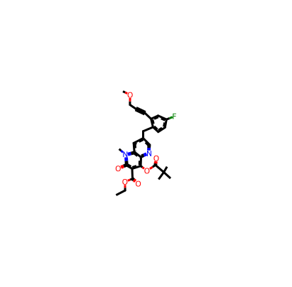 CCOC(=O)c1c(OC(=O)C(C)(C)C)c2ncc(Cc3ccc(F)cc3C#CCOC)cc2n(C)c1=O